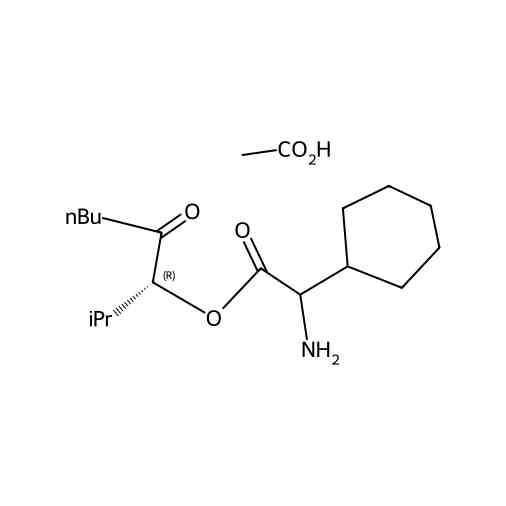 CC(=O)O.CCCCC(=O)[C@H](OC(=O)C(N)C1CCCCC1)C(C)C